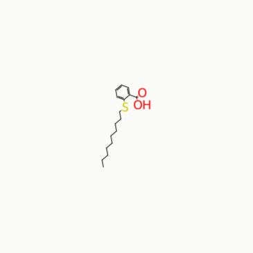 CCCCCCCCCCSc1ccccc1C(=O)O